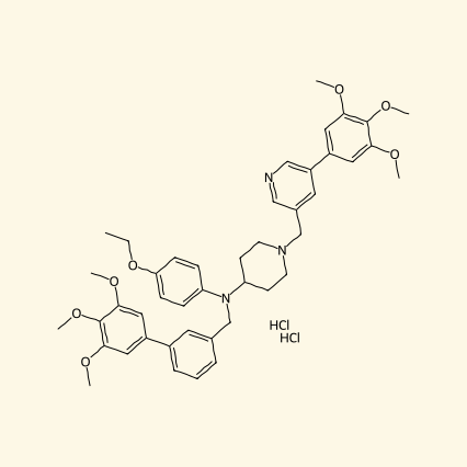 CCOc1ccc(N(Cc2cccc(-c3cc(OC)c(OC)c(OC)c3)c2)C2CCN(Cc3cncc(-c4cc(OC)c(OC)c(OC)c4)c3)CC2)cc1.Cl.Cl